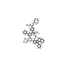 C=C/C=C\C=C(/C)c1cc(-c2ccccc2)cc(N(/C(C)=C/C=C\Cc2cccc3c2c2ccc4ccccc4c2n3-c2ccccc2)c2ccc(/C(C)=C/C=C3/C=CC=CCC3)cc2)c1